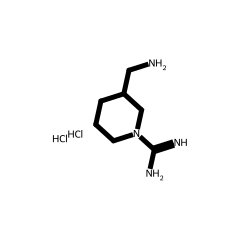 Cl.Cl.N=C(N)N1CCCC(CN)C1